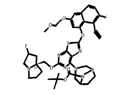 C#Cc1c(F)ccc2cc(OCOC)cc(Oc3nc4c(N5CB6CCC(C5)N(C(=O)OC(C)(C)C)C6)nc(OC[C@@]56CCCN5CC(F)C6)nc4s3)c12